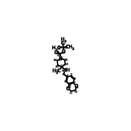 CC1(NCc2ccc3c(c2)OCCO3)CCN(C(=O)OC(C)(C)C)CC1